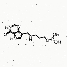 O=c1[nH]cnc2c(CNCCCOP(O)O)c[nH]c12